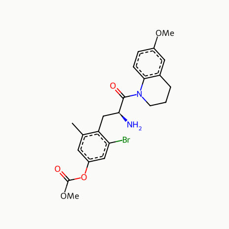 COC(=O)Oc1cc(C)c(C[C@H](N)C(=O)N2CCCc3cc(OC)ccc32)c(Br)c1